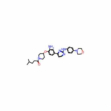 CC(C)CCC(=O)N1CCC(Oc2ccc(-c3ccnc(Nc4ccc(N5CCOCC5)cc4)n3)cc2N)CC1